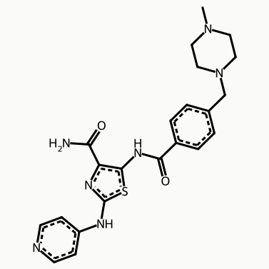 CN1CCN(Cc2ccc(C(=O)Nc3sc(Nc4ccncc4)nc3C(N)=O)cc2)CC1